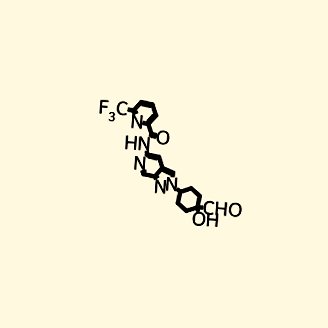 O=CC1(O)CCC(n2cc3cc(NC(=O)c4cccc(C(F)(F)F)n4)ncc3n2)CC1